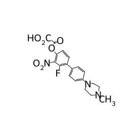 CN1CCN(c2ccc(-c3ccc(OC(=O)C(=O)O)c([N+](=O)[O-])c3F)cc2)CC1